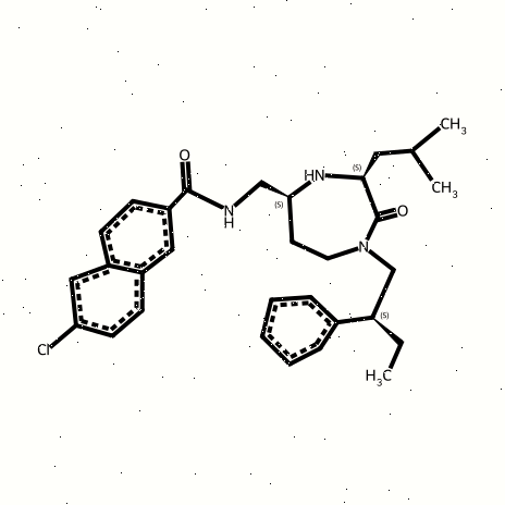 CC[C@H](CN1CC[C@@H](CNC(=O)c2ccc3cc(Cl)ccc3c2)N[C@@H](CC(C)C)C1=O)c1ccccc1